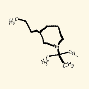 CCCC1CCCN(C(C)(C)C)C1